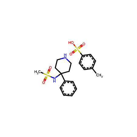 CS(=O)(=O)NC1(c2ccccc2)CCNCC1.Cc1ccc(S(=O)(=O)O)cc1